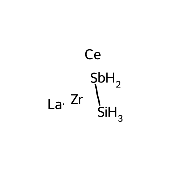 [Ce].[La].[SiH3][SbH2].[Zr]